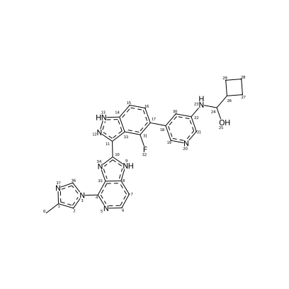 Cc1cn(-c2nccc3[nH]c(-c4n[nH]c5ccc(-c6cncc(NC(O)C7CCC7)c6)c(F)c45)nc23)cn1